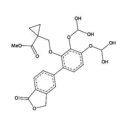 COC(=O)C1(COc2c(-c3ccc4c(c3)COC4=O)ccc(OC(O)O)c2OC(O)O)CC1